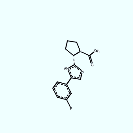 O=C(O)N1CCC[C@H]1c1ncc(-c2cccc(F)c2)[nH]1